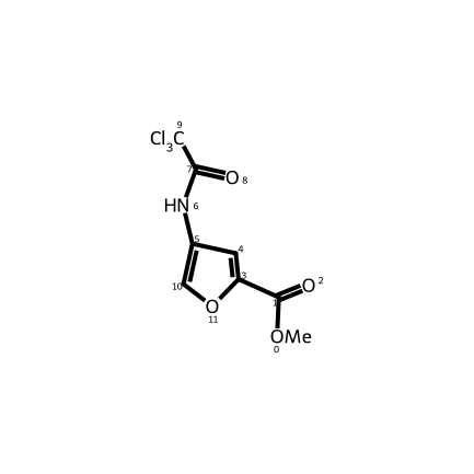 COC(=O)c1cc(NC(=O)C(Cl)(Cl)Cl)co1